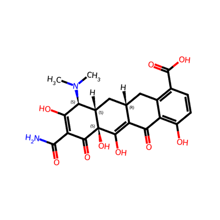 CN(C)[C@@H]1C(O)=C(C(N)=O)C(=O)[C@@]2(O)C(O)=C3C(=O)c4c(O)ccc(C(=O)O)c4C[C@H]3C[C@@H]12